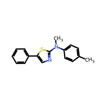 Cc1ccc(N(C)c2ncc(-c3ccccc3)s2)cc1